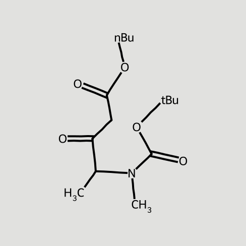 CCCCOC(=O)CC(=O)C(C)N(C)C(=O)OC(C)(C)C